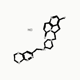 Cl.O=c1ccc2ncc(F)c3c2n1C(CN1CCC(NCc2cc4c(nn2)OCCO4)CC1)C3